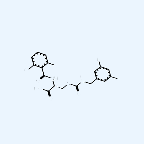 O=C(NCc1cc(F)cc(F)c1)NC[C@H](NC(=O)c1c(Cl)cccc1Cl)C(=O)O